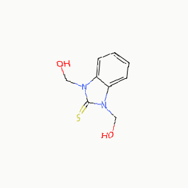 OCn1c(=S)n(CO)c2ccccc21